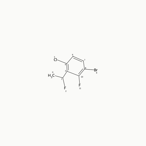 CC(F)c1c(Cl)ccc(Br)c1F